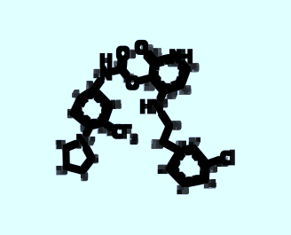 O=C(Nc1ccc(N2CCCC2)c(C(F)(F)F)c1)Oc1c(NCCc2cccc(Cl)c2)cc[nH]c1=O